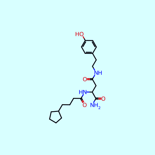 NC(=O)C(CC(=O)NCCc1ccc(O)cc1)NC(=O)CCCC1CCCC1